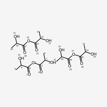 CC(O)C(=O)OC(=O)C(C)O.CC(O)C(=O)OC(=O)C(C)O.CC(O)C(=O)OC(=O)C(C)O